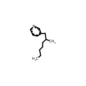 CCCCCC(C)Cc1cccnc1